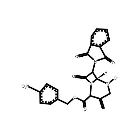 C=C1C[S+]([O-])[C@H]2C(N3C(=O)c4ccccc4C3=O)C(=O)N2C1C(=O)OCc1ccc([N+](=O)[O-])cc1